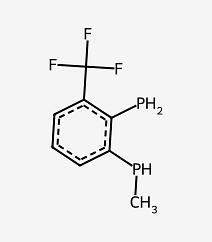 CPc1cccc(C(F)(F)F)c1P